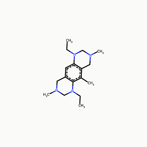 CCN1CN(C)Cc2c1cc1c(c2C)N(CC)CN(C)C1